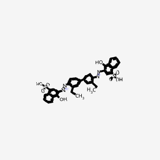 CCc1cc(-c2ccc(/N=N/c3cc(S(=O)(=O)O)c4ccccc4c3O)c(CC)c2)ccc1/N=N/c1cc(S(=O)(=O)O)c2ccccc2c1O